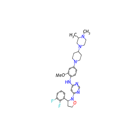 COc1cc(N2CCC(N3CCN(C)C(C)C3)CC2)ccc1Nc1cc(N2OCCC2c2cccc(F)c2F)ncn1